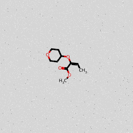 CC=C(OC1CCOCC1)C(=O)OC